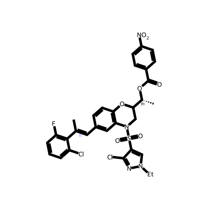 CCn1cc(S(=O)(=O)N2CC([C@@H](C)OC(=O)c3ccc([N+](=O)[O-])cc3)Oc3ccc(/C=C(\C)c4c(F)cccc4Cl)cc32)c(Cl)n1